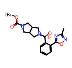 Cc1noc(-c2ccccc2C(O)N2CC3CN(C(=O)OC(C)(C)C)CC3C2)n1